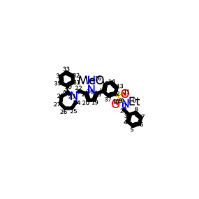 CCN(Cc1ccccc1)S(=O)(=O)c1ccc(OC)c(-c2ccc(CN3CCCCC[C@H]3c3ccccc3)[nH]2)c1